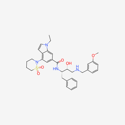 CCn1ccc2c(N3CCCCS3(=O)=O)cc(C(=O)N[C@@H](Cc3ccccc3)[C@H](O)CNCc3cccc(OC)c3)cc21